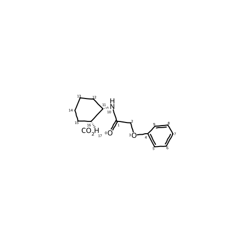 O=C(COc1ccccc1)N[C@H]1CCCC[C@H]1C(=O)O